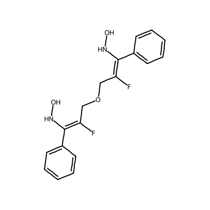 ONC(=C(F)COCC(F)=C(NO)c1ccccc1)c1ccccc1